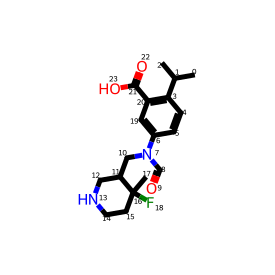 CC(C)c1ccc(N(C=O)CC2CNCCC2(C)F)cc1C(=O)O